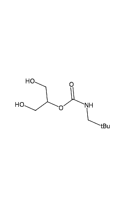 CC(C)(C)CNC(=O)OC(CO)CO